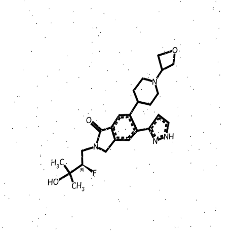 CC(C)(O)[C@H](F)CN1Cc2cc(-c3cc[nH]n3)c(C3CCN(C4COC4)CC3)cc2C1=O